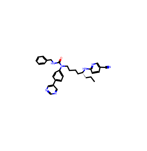 CCC[C@H](CCCCN(C(=O)NCc1ccccc1)c1ccc(-c2cncnc2)cc1)Nc1ccc(C#N)cn1